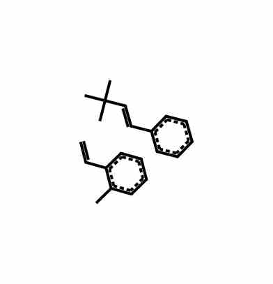 C=Cc1ccccc1C.CC(C)(C)C=Cc1ccccc1